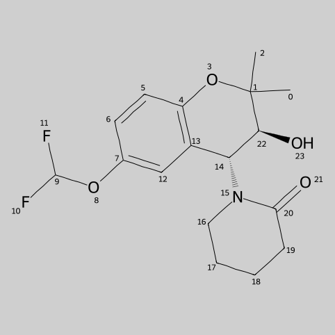 CC1(C)Oc2ccc(OC(F)F)cc2[C@@H](N2CCCCC2=O)[C@@H]1O